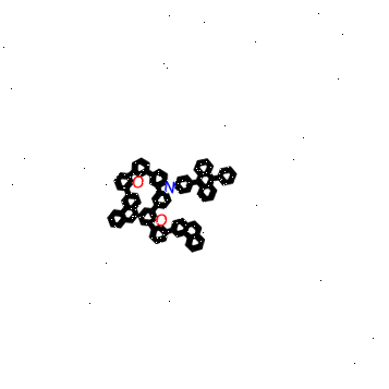 c1ccc(-c2c3ccccc3c(-c3ccc(-n4c5ccc(-c6cccc7c6oc6c(-c8ccc9ccc%10ccccc%10c9c8)cccc67)cc5c5cc(-c6cccc7c6oc6c(-c8ccc9ccc%10ccccc%10c9c8)cccc67)ccc54)cc3)c3ccccc23)cc1